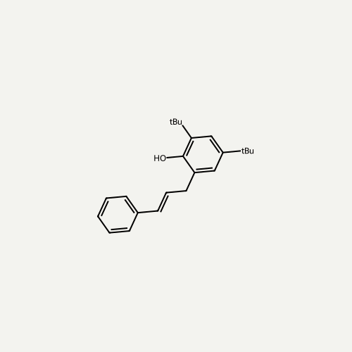 CC(C)(C)c1cc(CC=Cc2ccccc2)c(O)c(C(C)(C)C)c1